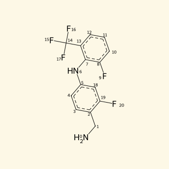 NCc1ccc(Nc2c(F)cccc2C(F)(F)F)cc1F